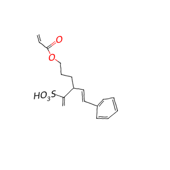 C=CC(=O)OCCCC(C=Cc1ccccc1)C(=C)S(=O)(=O)O